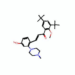 COc1c(C(=O)C=Cc2ccc(O)cc2N2CCN(C)CC2)cc(C(C)(C)C)cc1C(C)(C)C